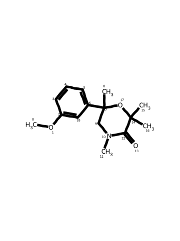 COc1cccc(C2(C)CN(C)C(=O)C(C)(C)O2)c1